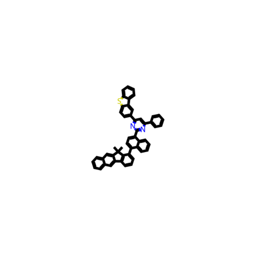 CC1(C)c2cc3ccccc3cc2-c2cccc(-c3ccc(-c4nc(-c5ccccc5)cc(-c5ccc6sc7ccccc7c6c5)n4)c4ccccc34)c21